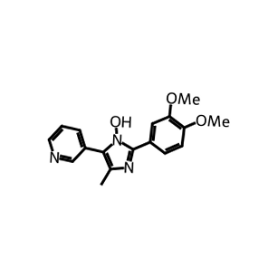 COc1ccc(-c2nc(C)c(-c3cccnc3)n2O)cc1OC